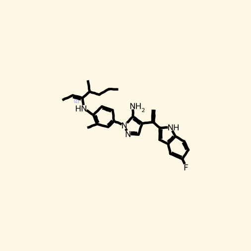 C=C(c1cc2cc(F)ccc2[nH]1)c1cnn(-c2ccc(N/C(=C\C)C(C)CCC)c(C)c2)c1N